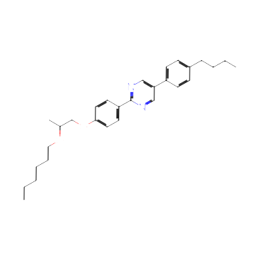 CCCCCCOC(C)COc1ccc(-c2ncc(-c3ccc(CCCC)cc3)cn2)cc1